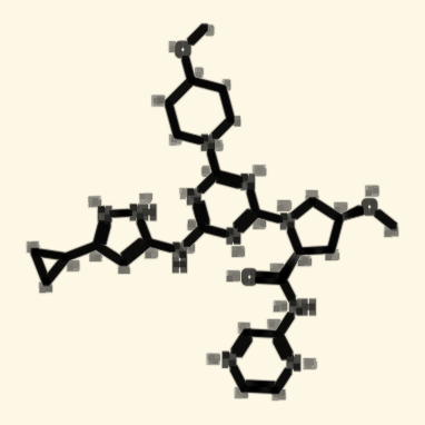 COC1CCN(c2nc(Nc3cc(C4CC4)n[nH]3)nc(N3C[C@@H](OC)C[C@H]3C(=O)Nc3cnccn3)n2)CC1